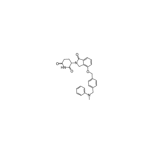 CN(Cc1ccc(COc2cccc3c2CN(C2CCC(=O)NC2=O)C3=O)cc1)c1ccccc1